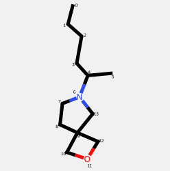 CCCCC(C)N1CCC2(COC2)C1